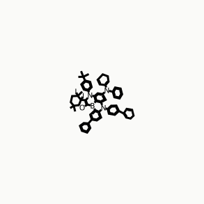 CC(C)(C)c1ccc(N2C3=C(OC4C(C)(C)CCC(C)(I)C34I)B3c4cc(-c5ccccc5)ccc4N(c4ccc(C5=CCCC=C5)cc4)c4cc(N(C5=CCCC=C5)c5ccccc5)cc2c43)cc1